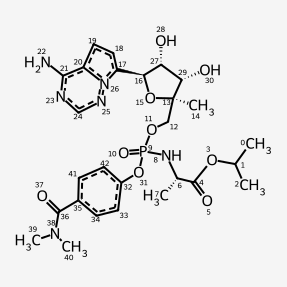 CC(C)OC(=O)[C@H](C)NP(=O)(OC[C@@]1(C)O[C@@H](c2ccc3c(N)ncnn23)[C@H](O)[C@@H]1O)Oc1ccc(C(=O)N(C)C)cc1